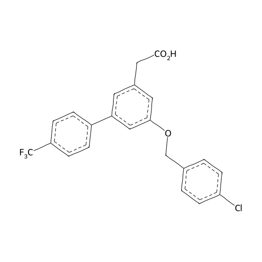 O=C(O)Cc1cc(OCc2ccc(Cl)cc2)cc(-c2ccc(C(F)(F)F)cc2)c1